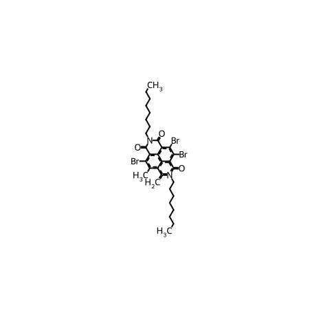 C=c1c2c(C)c(Br)c3c4c(c(Br)c(Br)c(c(=O)n1CCCCCCCC)c42)C(=O)N(CCCCCCCC)C3=O